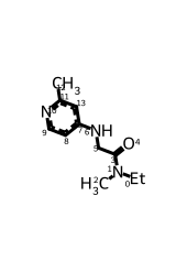 CCN(C)C(=O)CNc1ccnc(C)c1